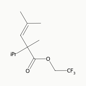 CC(C)=CC(C)(C(=O)OCC(F)(F)F)C(C)C